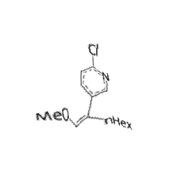 CCCCCC/C(=C/OC)c1ccc(Cl)nc1